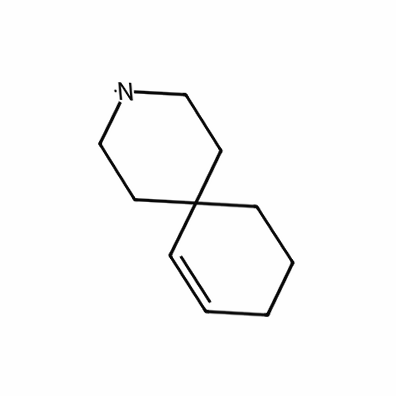 C1=CC2(CCC1)CC[N]CC2